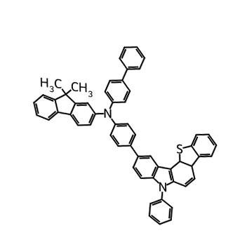 CC1(C)c2ccccc2-c2ccc(N(c3ccc(-c4ccccc4)cc3)c3ccc(-c4ccc5c(c4)c4c(n5-c5ccccc5)C=CC5c6ccccc6SC45)cc3)cc21